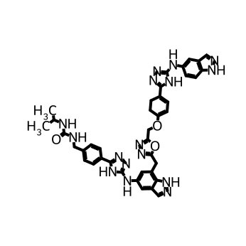 CC(C)NC(=O)NCc1ccc(-c2nnc(Nc3cc(Cc4nnc(COC5=CC=C(c6nnc(Nc7ccc8[nH]ncc8c7)[nH]6)CC5)o4)c4[nH]ncc4c3)[nH]2)cc1